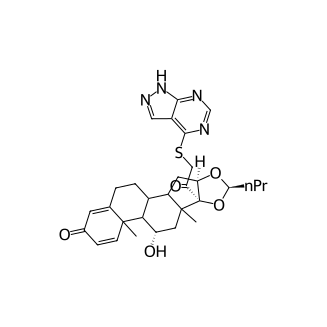 CCC[C@@H]1O[C@@H]2CC3C4CCC5=CC(=O)C=CC5(C)C4[C@@H](O)CC3(C)[C@]2(C(=O)CSc2ncnc3[nH]ncc23)O1